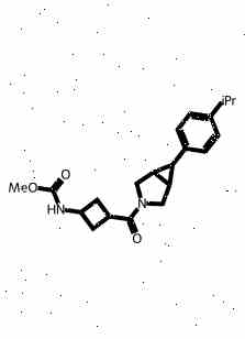 COC(=O)NC1CC(C(=O)N2CC3C(C2)C3c2ccc(C(C)C)cc2)C1